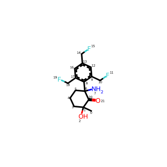 CC1(O)CCCC(N)(c2c(CF)cc(CF)cc2CF)C1=O